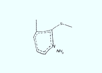 CSc1ncccc1C.N